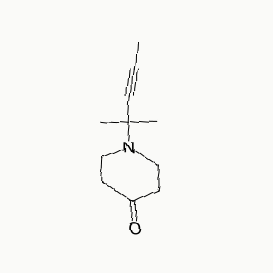 CC#CC(C)(C)N1CCC(=O)CC1